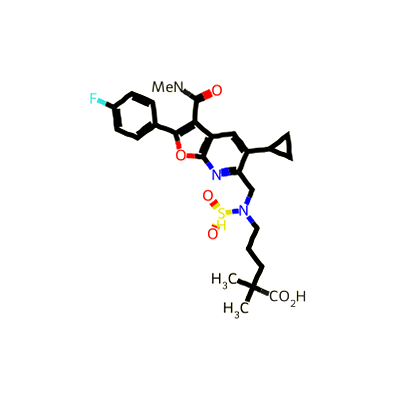 CNC(=O)c1c(-c2ccc(F)cc2)oc2nc(CN(CCCC(C)(C)C(=O)O)[SH](=O)=O)c(C3CC3)cc12